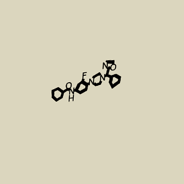 O=C(Nc1ccc(N2CCN(C(c3ccccc3)c3ncco3)CC2)c(F)c1)C1CCCCC1